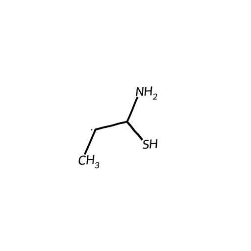 C[CH]C(N)S